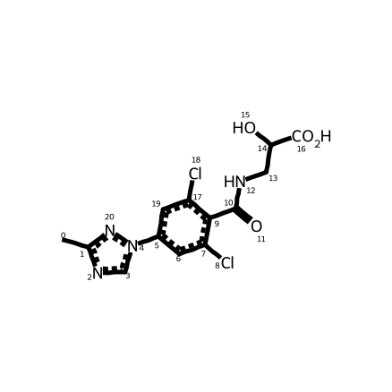 Cc1ncn(-c2cc(Cl)c(C(=O)NCC(O)C(=O)O)c(Cl)c2)n1